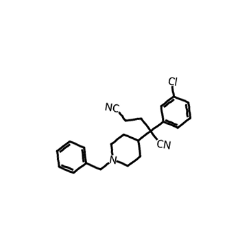 N#CCCC(C#N)(c1cccc(Cl)c1)C1CCN(Cc2ccccc2)CC1